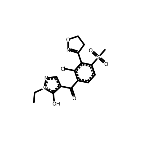 CCn1ncc(C(=O)c2ccc(S(C)(=O)=O)c(C3=NOCC3)c2Cl)c1O